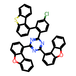 Clc1ccc(-c2nc(-c3cccc4oc5ccccc5c34)nc(-c3cccc4oc5ccccc5c34)n2)c(-c2cccc3sc4ccccc4c23)c1